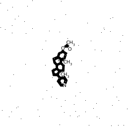 CC(=O)OC1CC[C@@]2(C)C(=CCC3C2CC[C@]2(C)C(c4ccncc4)=CCC32)C1